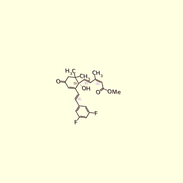 COC(=O)/C=C(C)\C=C\[C@@]1(O)C(/C=C/c2cc(F)cc(F)c2)=CC(=O)CC1(C)C